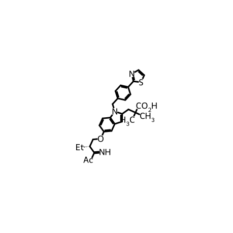 CC[C@H](COc1ccc2c(c1)cc(CC(C)(C)C(=O)O)n2Cc1ccc(-c2nccs2)cc1)C(=N)C(C)=O